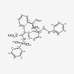 C=C[C@@H](N)c1ccccc1-c1c(C(=O)O)n(S(=O)(=O)c2ccccc2)c2ccc(OCc3ccccc3)cc12